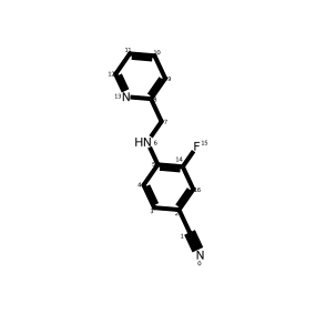 N#Cc1ccc(NCc2ccccn2)c(F)c1